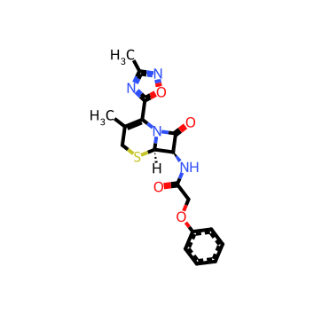 CC1=C(c2nc(C)no2)N2C(=O)[C@@H](NC(=O)COc3ccccc3)[C@H]2SC1